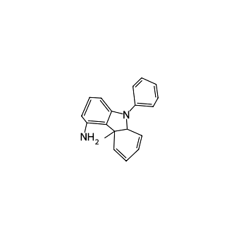 CC12C=CC=CC1N(c1ccccc1)c1cccc(N)c12